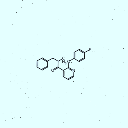 CC(Cc1ccccc1)C(=O)c1cccnc1Oc1ccc(F)cc1